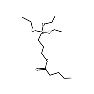 CCCCC(=O)SCCC[Si](OCC)(OCC)OCC